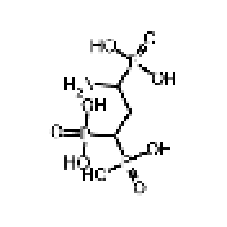 NC(CC(P(=O)(O)O)P(=O)(O)O)P(=O)(O)O